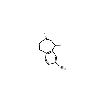 CC1CN(C)CCc2ccc(N)cc21